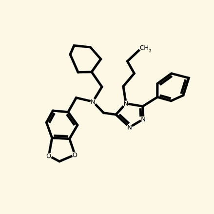 CCCCn1c(CN(Cc2ccc3c(c2)OCO3)CC2CCCCC2)nnc1-c1ccccc1